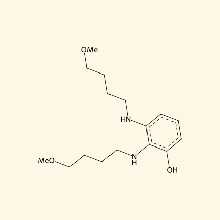 COCCCCNc1cccc(O)c1NCCCCOC